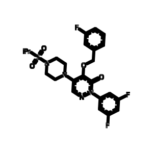 CC(C)S(=O)(=O)N1CCN(c2cnn(-c3cc(F)cc(F)c3)c(=O)c2OCc2cccc(F)c2)CC1